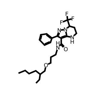 CCCCC(CC)COCCCNC(=O)c1c(-c2ccccc2)nn2c1NCCC2C(F)(F)F